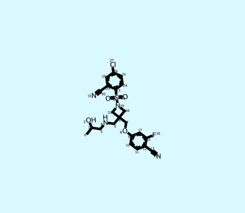 CC(O)CNCC1(COc2ccc(C#N)c(F)c2)CN(S(=O)(=O)c2ccc(Cl)cc2C#N)C1